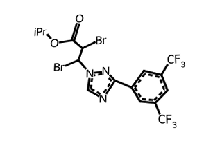 CC(C)OC(=O)C(Br)C(Br)n1cnc(-c2cc(C(F)(F)F)cc(C(F)(F)F)c2)n1